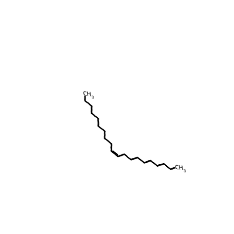 CCCCCCCCC/C=C\CCCCCCCCC